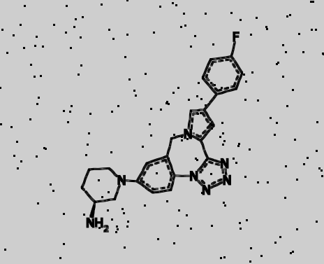 N[C@H]1CCCN(c2ccc3c(c2)Cn2cc(-c4ccc(F)cc4)cc2-c2nnnn2-3)C1